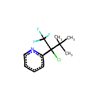 CC(C)(C)C(Cl)(c1ccccn1)C(F)(F)F